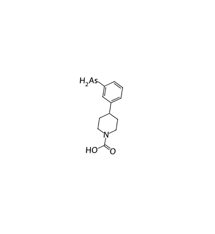 O=C(O)N1CCC(c2cccc([AsH2])c2)CC1